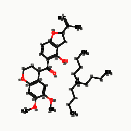 C=C(C)C1Cc2c(ccc(C(=O)C3CCOc4cc(OC)c(OC)cc43)c2O)O1.CCC[CH2][SnH]([CH2]CCC)[CH2]CCC